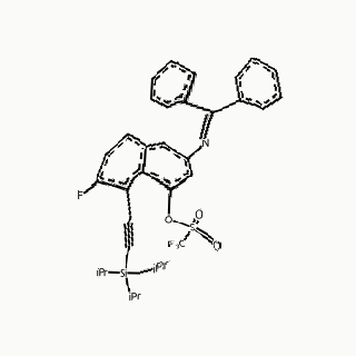 CC(C)[Si](C#Cc1c(F)ccc2cc(N=C(c3ccccc3)c3ccccc3)cc(OS(=O)(=O)C(F)(F)F)c12)(C(C)C)C(C)C